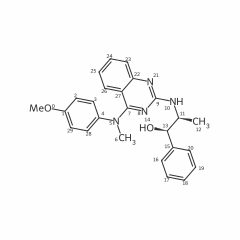 COc1ccc(N(C)c2nc(N[C@@H](C)[C@H](O)c3ccccc3)nc3ccccc23)cc1